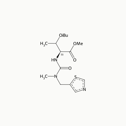 COC(=O)[C@@H](NC(=O)N(C)Cc1cncs1)C(C)OCC(C)C